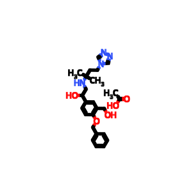 CC(=O)O.CC(C)(CCn1cnnc1)NCC(O)c1ccc(OCc2ccccc2)c(CO)c1